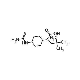 CC(C)(C)CN(C(=O)O)C1CCC(NC(N)=S)CC1